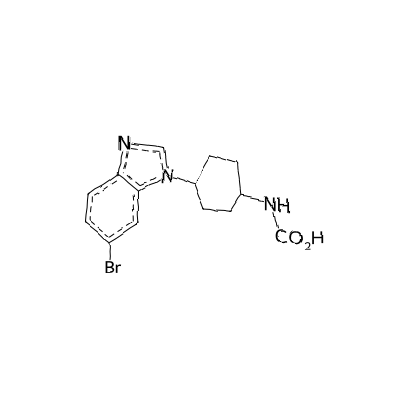 O=C(O)NC1CCC(n2cnc3ccc(Br)cc32)CC1